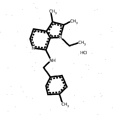 CCn1c(C)c(C)c2ccnc(NCc3ccc(C)cc3)c21.Cl